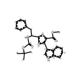 COC(=O)c1nc(C(Cc2ccccc2)NC(=O)OC(C)(C)C)oc1-c1c[nH]c2ccccc12